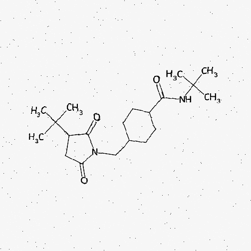 CC(C)(C)NC(=O)C1CCC(CN2C(=O)CC(C(C)(C)C)C2=O)CC1